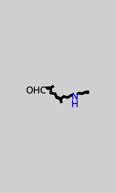 C=CCCNCCCC(C)=CCCC(C)=CC=O